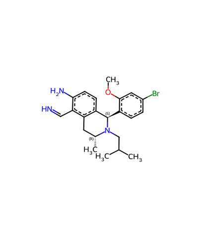 COc1cc(Br)ccc1[C@@H]1c2ccc(N)c(C=N)c2C[C@@H](C)N1CC(C)C